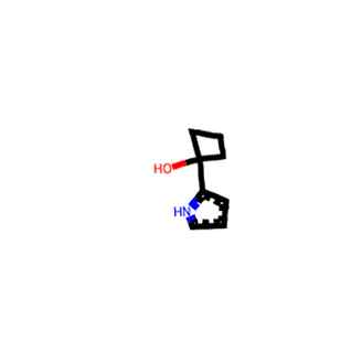 OC1(c2ccc[nH]2)CCC1